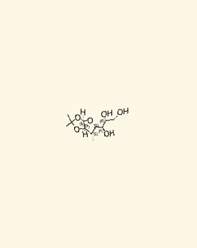 C[C@@H]1[C@H]2OC(C)(C)O[C@H]2O[C@@H]1[C@H](O)[C@H](O)CO